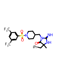 CC(C)CC1(C)NC(=N)N(CC2CCN(S(=O)(=O)c3cc(C(F)(F)F)cc(C(F)(F)F)c3)CC2)C1=O